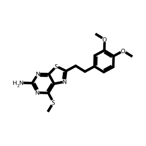 COc1ccc(CCc2nc3c(SC)nc(N)nc3s2)cc1OC